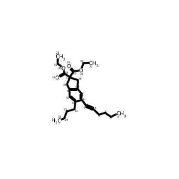 CCCCC#Cc1cc2c(cc1CCCC)CC(C(=O)OCC)(C(=O)OCC)C2